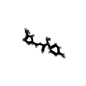 CCCN(C(=O)COc1nnc(C(F)(F)F)s1)c1ccc(Cl)cc1